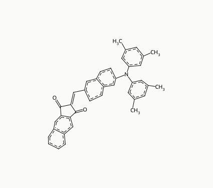 Cc1cc(C)cc(N(c2cc(C)cc(C)c2)c2ccc3cc(C=C4C(=O)c5cc6ccccc6cc5C4=O)ccc3c2)c1